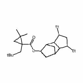 CCC1CC(CC)C2C3CC(CC3OC(=O)C3(CC(C)(C)C)CC3(C)C)C12